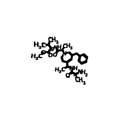 COC(=O)[C@@H](NC(=O)C(C)N1CCC(C(C)NC(=O)[C@H](C)N)=CC(Cc2ccccc2)C1)C(C)C